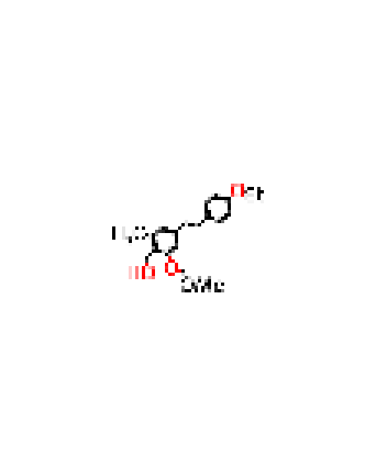 CCOc1ccc(CCc2cc(C)c(CO)c(OCOC)c2)cc1